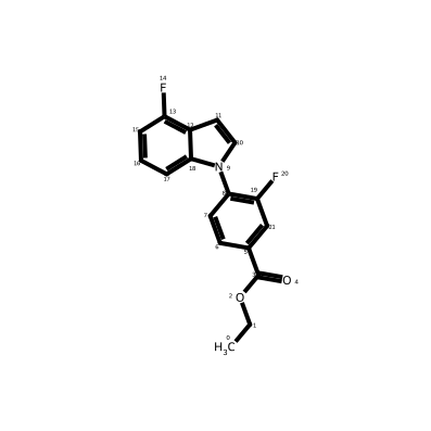 CCOC(=O)c1ccc(-n2ccc3c(F)cccc32)c(F)c1